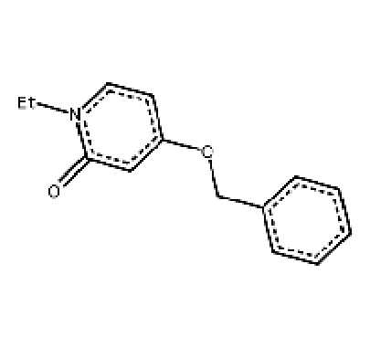 CCn1ccc(OCc2ccccc2)cc1=O